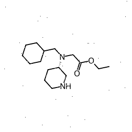 CCOC(=O)CN(CC1CCCCC1)[C@H]1CCCNC1